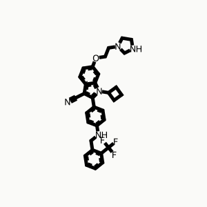 N#Cc1c(-c2ccc(NCc3ccccc3C(F)(F)F)cc2)n(C2CCC2)c2cc(OCCN3CCNC3)ccc12